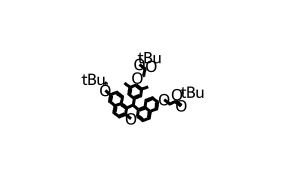 Cc1cc(C2c3c(ccc4cc(OCC(=O)OC(C)(C)C)ccc34)Oc3ccc4cc(OCC(C)(C)C)ccc4c32)cc(C)c1OCC(=O)OC(C)(C)C